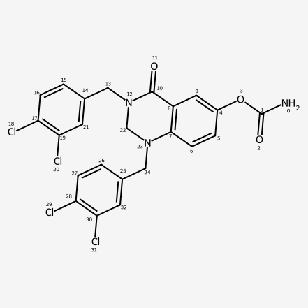 NC(=O)Oc1ccc2c(c1)C(=O)N(Cc1ccc(Cl)c(Cl)c1)CN2Cc1ccc(Cl)c(Cl)c1